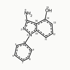 Nc1nn(-c2ccccc2)c2cccc(O)c12